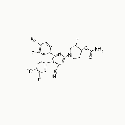 COc1ccc(-c2c(C#N)cc(N3CCC(OC(N)=O)C(F)C3)nc2-c2ccc(C#N)c(F)c2)cc1F